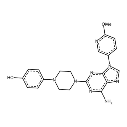 COc1ccc(-n2cnc3c(N)nc(N4CCN(c5ccc(O)cc5)CC4)nc32)cn1